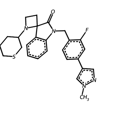 Cn1cc(-c2ccc(CN3C(=O)C4(CCN4C4CCCSC4)c4ccccc43)c(F)c2)cn1